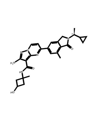 Cc1cc(-c2ccn3nc(N)c(C(=O)NC4(C)CC(O)C4)c3n2)cc2c1C(=O)N([C@@H](C)C1CC1)C2